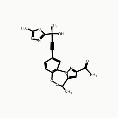 Cc1nnc([C@](C)(O)C#Cc2ccc3c(c2)-n2nc(C(N)=O)cc2C(C)CO3)o1